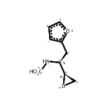 O=C(O)N[C@@H](Cc1ccco1)[C@H]1CO1